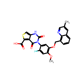 COc1cc(F)c(-n2c(=O)[nH]c3csc(C(=O)O)c3c2=O)cc1OCc1cccc2cc(C)cnc12